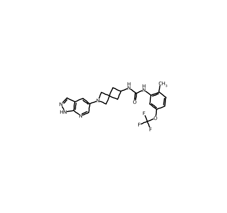 Cc1ccc(OC(F)(F)F)cc1NC(=O)NC1CC2(C1)CN(c1cnc3[nH]ncc3c1)C2